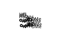 COc1cc2nc(N3CCN(Cc4ccccc4)CC3)nc(N)c2cc1OC.COc1cc2nc(N3CCN(Cc4ccccc4)CC3)nc(N)c2cc1OC.Cl.Cl.Cl.Cl.O